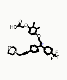 CC1C(OC/C=C(\c2ccc(C#CCN3CCOCC3)cc2)c2ccc(C(F)(F)F)cc2)=CC=C(OCC(=O)O)C1C